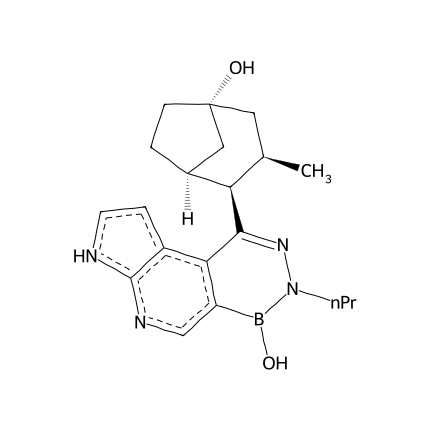 CCCN1N=C([C@H]2[C@H]3CC[C@](O)(C3)C[C@H]2C)c2c(cnc3[nH]ccc23)B1O